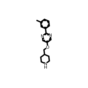 Cc1cccc(-c2ncc(OCC3CCNCC3)cn2)c1